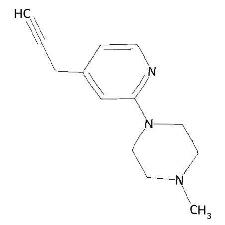 C#CCc1ccnc(N2CCN(C)CC2)c1